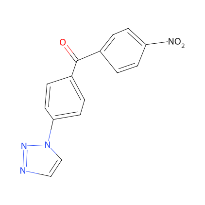 O=C(c1ccc(-n2ccnn2)cc1)c1ccc([N+](=O)[O-])cc1